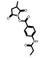 CC1CC(=O)N(OC(=O)c2ccc(NC(=O)CI)cc2)C1=O